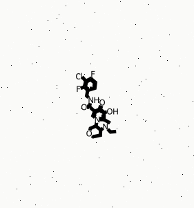 CCN1Cc2c(O)c(=O)c(C(=O)NCc3ccc(F)c(Cl)c3F)cn2C2COCCC21